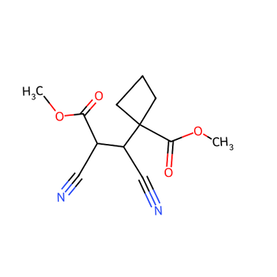 COC(=O)C(C#N)C(C#N)C1(C(=O)OC)CCC1